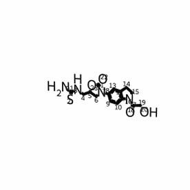 NC(=S)NCC1CN(c2ccc3c(c2)CCN3C(=O)CO)C(=O)O1